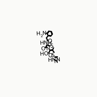 Nc1ccccc1CC(=O)NC1C(=O)N2C(C(=O)O)=C(CSc3cnn[nH]3)CS[C@H]12